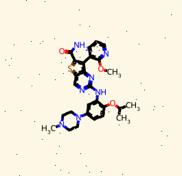 COc1ncccc1-c1c(C(N)=O)sc2cnc(Nc3cc(N4CCN(C)CC4)ccc3OC(C)C)nc12